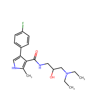 CCN(CC)CC(O)CNC(=O)c1c(-c2ccc(F)cc2)c[nH]c1C